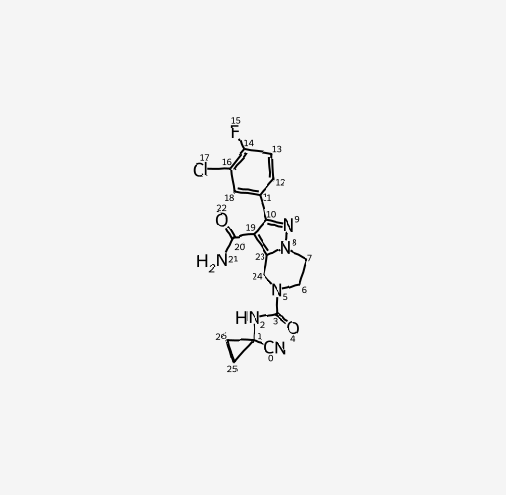 N#CC1(NC(=O)N2CCn3nc(-c4ccc(F)c(Cl)c4)c(C(N)=O)c3C2)CC1